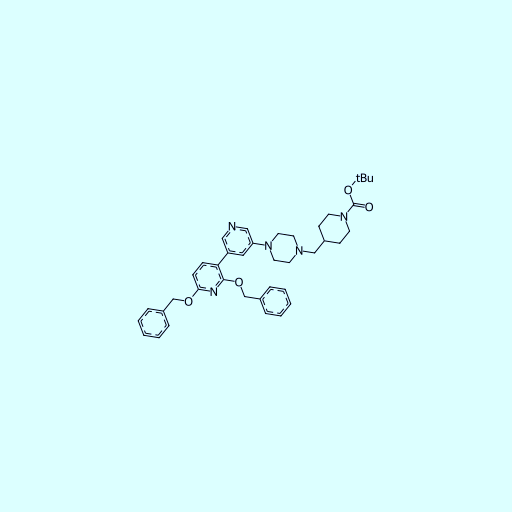 CC(C)(C)OC(=O)N1CCC(CN2CCN(c3cncc(-c4ccc(OCc5ccccc5)nc4OCc4ccccc4)c3)CC2)CC1